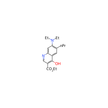 CCCc1cc2c(O)c(C(=O)OCC)cnc2cc1N(CC)CC